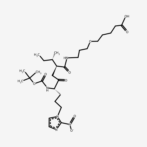 CC[C@H](C)[C@H](CC(=O)[C@H](CCCn1ccnc1[N+](=O)[O-])NC(=O)OC(C)(C)C)C(=O)NCCCOCCCCC(=O)O